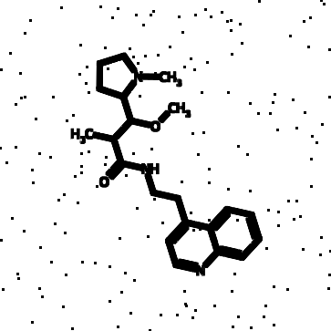 COC(C(C)C(=O)NCCc1ccnc2ccccc12)C1CCCN1C